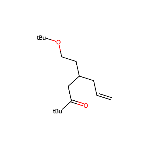 C=CCC(CCOC(C)(C)C)CC(=O)C(C)(C)C